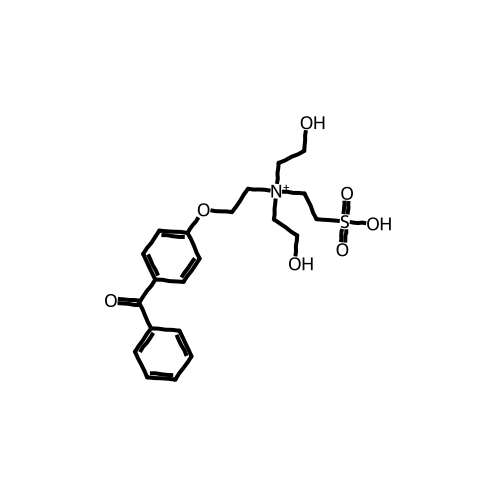 O=C(c1ccccc1)c1ccc(OCC[N+](CCO)(CCO)CCS(=O)(=O)O)cc1